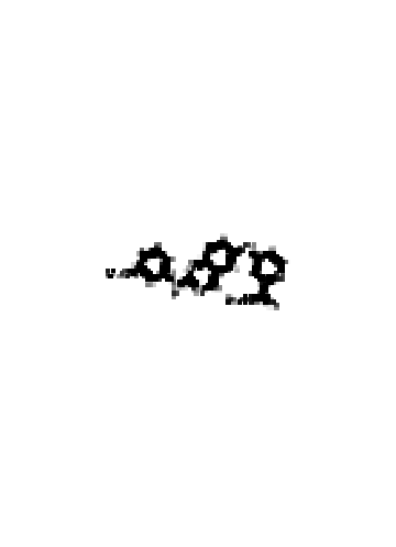 CNC(=O)c1cc(Oc2ccc3nc(Nc4cccc(SC)c4)ncc3c2)ccn1